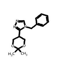 CC1(C)OCC(c2nncn2Cc2ccccc2)CO1